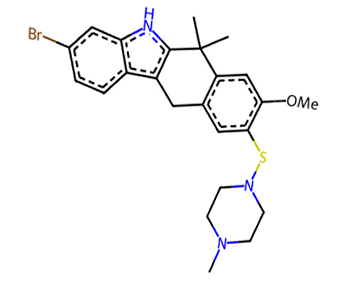 COc1cc2c(cc1SN1CCN(C)CC1)Cc1c([nH]c3cc(Br)ccc13)C2(C)C